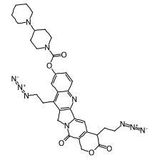 [N-]=[N+]=NCCc1c2c(nc3ccc(OC(=O)N4CCC(N5CCCCC5)CC4)cc13)-c1cc3c(c(=O)n1C2)COC(=O)C3CCN=[N+]=[N-]